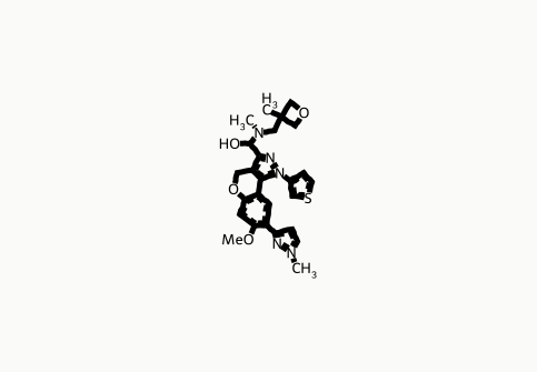 COc1cc2c(cc1-c1ccn(C)n1)-c1c(c(C(O)N(C)CC3(C)COC3)nn1-c1ccsc1)CO2